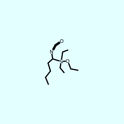 CCCCC(N=C=O)[Si](CC)(CC)OCC